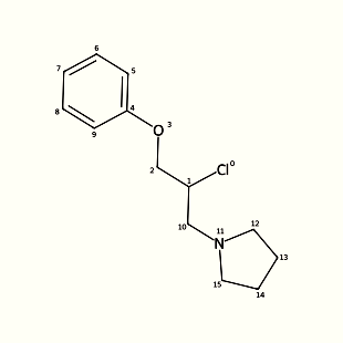 ClC(COc1ccccc1)CN1CCCC1